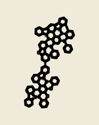 c1ccc(N2c3cccc4c3B3c5c2cc2c6c5-c5c7c(cc8c9cccc-4c9n3c58)c3ccccc3n7B6c3ccc4oc5cc(-c6ccc7c(c6)c6cccc8c6n7B6c7ccccc7Oc7c9c%10c(c-8c76)-c6cccc7c8ccccc8n(c67)B%10c6ccccc6O9)ccc5c4c3N2c2ccccc2)cc1